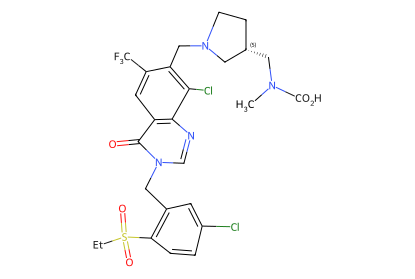 CCS(=O)(=O)c1ccc(Cl)cc1Cn1cnc2c(Cl)c(CN3CC[C@H](CN(C)C(=O)O)C3)c(C(F)(F)F)cc2c1=O